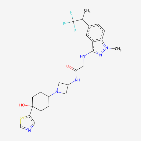 CC(c1ccc2c(c1)c(NCC(=O)NC1CN(C3CCC(O)(c4cncs4)CC3)C1)nn2C)C(F)(F)F